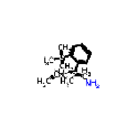 C=C.C[Si](C)(C)c1ccccc1[Si](C)(C)C.N